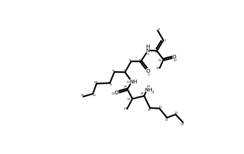 CC=C(NC(=O)CC(CCCCC)NC(=O)C(C)C(N)CCCCC)C(C)=O